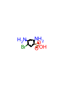 Nc1cc(N)c(S(=O)(=O)O)cc1Br